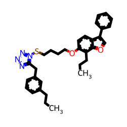 CCCc1cccc(Cc2nnnn2SCCCCOc2ccc3c(-c4ccccc4)coc3c2CCC)c1